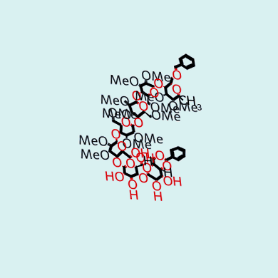 COCC1O[C@@H](O[C@H]2C(OC)C(OC)[C@@H](O[C@H]3C(OC)C(OC)[C@H](O[C@@H]4C(COCc5ccccc5)O[C@@H](C)C(OC)[C@H]4OC)O[C@H]3COC)O[C@H]2COC)C(OC)[C@@H](OC)[C@@H]1O[C@H]1OC(CO)[C@@H](O[C@@H]2O[C@@H](CO)[C@@H](O[C@H]3O[C@H]4COC(c5ccccc5)O[C@H]4C(O)C3O)C(O)C2O)[C@H](OC)C1OC